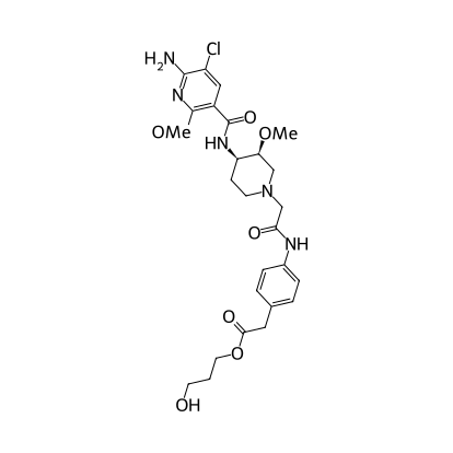 COc1nc(N)c(Cl)cc1C(=O)N[C@@H]1CCN(CC(=O)Nc2ccc(CC(=O)OCCCO)cc2)C[C@@H]1OC